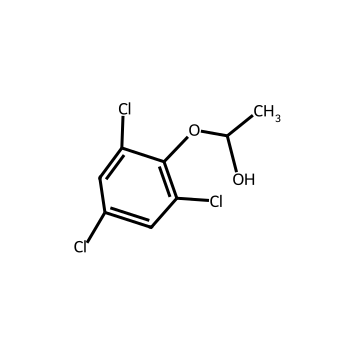 CC(O)Oc1c(Cl)cc(Cl)cc1Cl